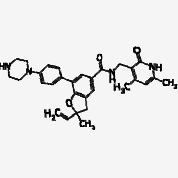 C=CC1(C)Cc2cc(C(=O)NCc3c(C)cc(C)[nH]c3=O)cc(-c3ccc(N4CCNCC4)cc3)c2O1